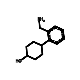 NCc1ccccc1C1CCC(O)CC1